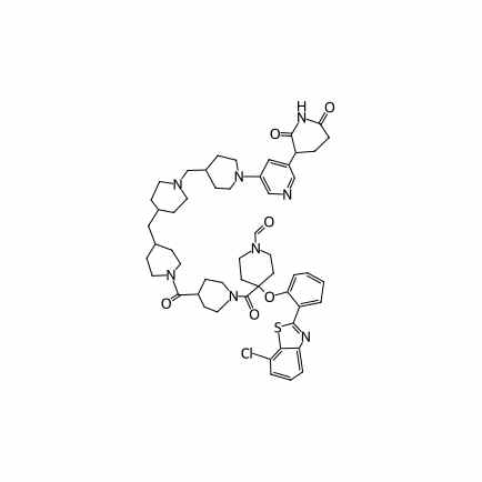 O=CN1CCC(Oc2ccccc2-c2nc3cccc(Cl)c3s2)(C(=O)N2CCC(C(=O)N3CCC(CC4CCN(CC5CCN(c6cncc(C7CCC(=O)NC7=O)c6)CC5)CC4)CC3)CC2)CC1